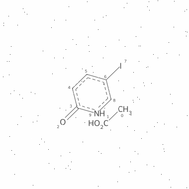 CC(=O)O.O=c1ccc(I)c[nH]1